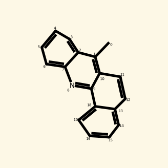 Cc1c2ccccc2nc2c1ccc1ccccc12